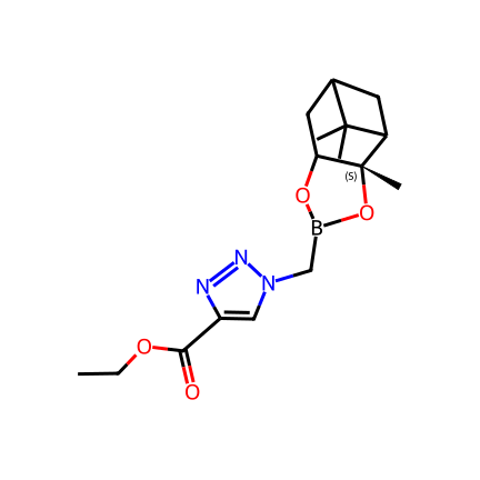 CCOC(=O)c1cn(CB2OC3CC4CC(C4(C)C)[C@]3(C)O2)nn1